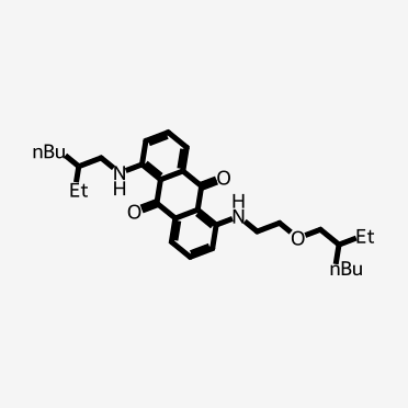 CCCCC(CC)CNc1cccc2c1C(=O)c1cccc(NCCOCC(CC)CCCC)c1C2=O